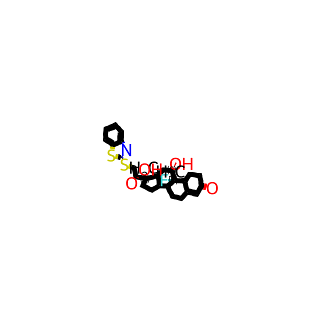 CC12C[C@H](O)[C@@]3(F)C(CCC4=CC(=O)CCC43C)C1CC[C@]2(O)C(=O)CSc1nc2ccccc2s1